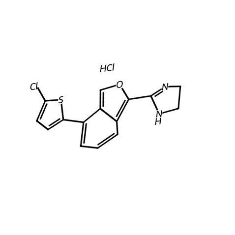 Cl.Clc1ccc(-c2cccc3c(C4=NCCN4)occ23)s1